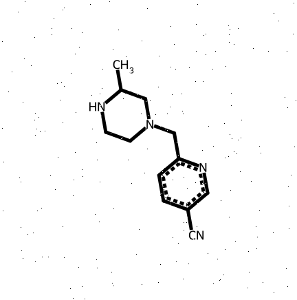 CC1CN(Cc2ccc(C#N)cn2)CCN1